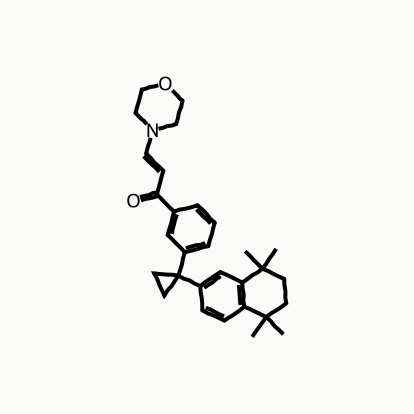 CC1(C)CCC(C)(C)c2cc(C3(c4cccc(C(=O)C=CN5CCOCC5)c4)CC3)ccc21